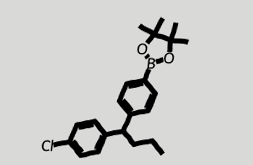 CCCC(c1ccc(Cl)cc1)c1ccc(B2OC(C)(C)C(C)(C)O2)cc1